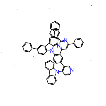 c1ccc(-c2ccc3c(c2)c2cc(-c4ccccc4)ccc2n3-c2ccc(-c3cnccc3-n3c4ccccc4c4ccccc43)cc2-c2cc(-c3ccccc3)nc(-c3ccccc3)n2)cc1